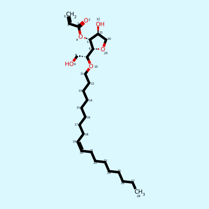 C=CC(=O)O[C@H]1[C@@H]([C@@H](CO)OCCCCCCCC/C=C\CCCCCCCC)OC[C@@H]1O